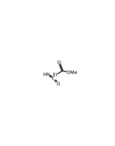 CCC(=O)OC.N=C=O